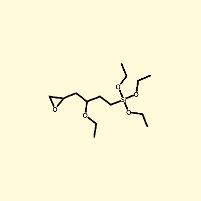 CCOC(CC[Si](OCC)(OCC)OCC)CC1CO1